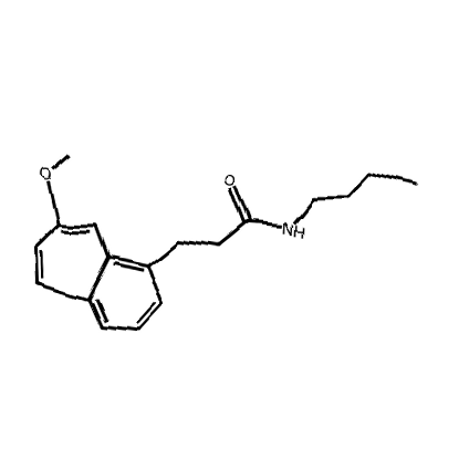 CCCCNC(=O)CCc1cccc2ccc(OC)cc12